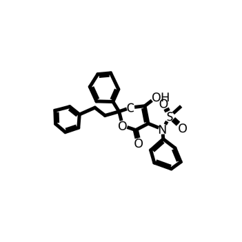 CS(=O)(=O)N(C1=C(O)CC(CCc2ccccc2)(c2ccccc2)OC1=O)c1ccccc1